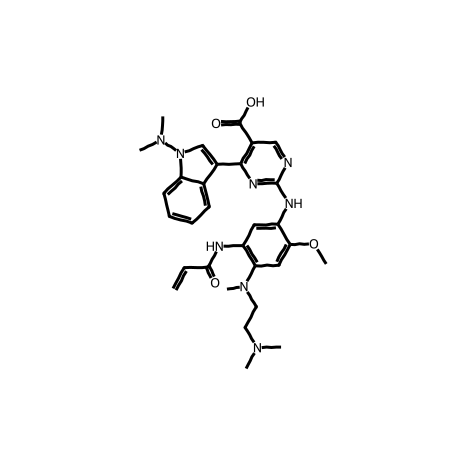 C=CC(=O)Nc1cc(Nc2ncc(C(=O)O)c(-c3cn(N(C)C)c4ccccc34)n2)c(OC)cc1N(C)CCN(C)C